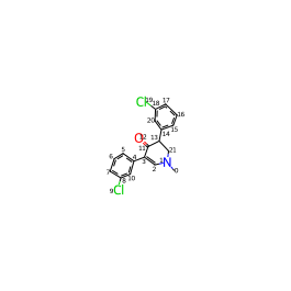 CN1C=C(c2cccc(Cl)c2)C(=O)C(c2cccc(Cl)c2)C1